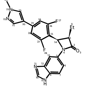 CC[C@H]1C(=O)N(c2ccc3[nH]cnc3c2)[C@H]1c1c(F)cc(-c2cnn(C)c2)cc1F